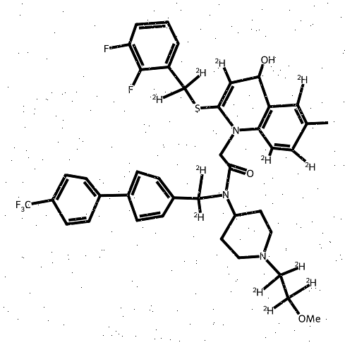 [2H]C1=C(SC([2H])([2H])c2cccc(F)c2F)N(CC(=O)N(C2CCN(C([2H])([2H])C([2H])([2H])OC)CC2)C([2H])([2H])c2ccc(-c3ccc(C(F)(F)F)cc3)cc2)c2c([2H])c([2H])c(C)c([2H])c2C1O